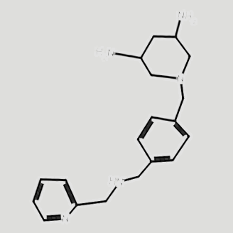 NC1CC(N)CN(Cc2ccc(CNCc3ccccn3)cc2)C1